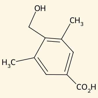 Cc1cc(C(=O)O)cc(C)c1CO